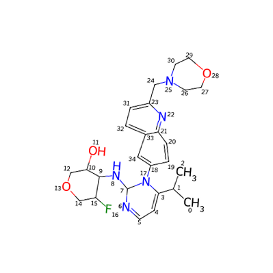 CC(C)C1=CC=NC(NC2C(O)COCC2F)N1c1ccc2nc(CN3CCOCC3)ccc2c1